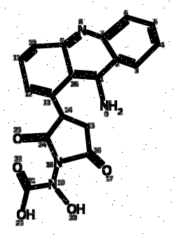 Nc1c2ccccc2nc2cccc(C3CC(=O)N(N(O)C(=O)O)C3=O)c12